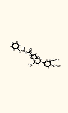 COc1ccc(-c2cc(C(F)(F)F)n3nc(C(=O)ONCc4ccccc4)cc3n2)cc1OC